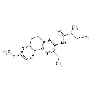 CCc1nc2c(nc1NC(=O)C(C)CC)CCc1cc(OC)ccc1-2